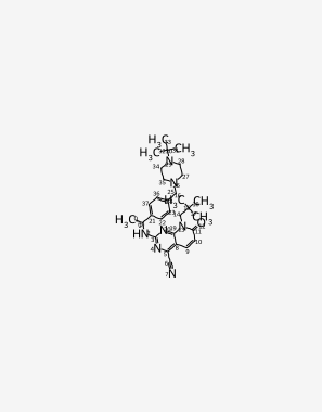 C[C@H](Nc1nc(C#N)c2ccc(=O)n(CC(C)(C)C)c2n1)c1ccc(CN2CCN(C(C)(C)C)CC2)cc1